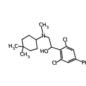 CN(CC(O)c1c(Cl)cc(P)cc1Cl)C1CCC(C)(C)CC1